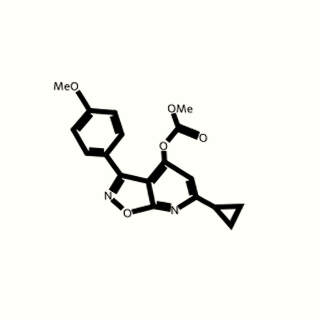 COC(=O)Oc1cc(C2CC2)nc2onc(-c3ccc(OC)cc3)c12